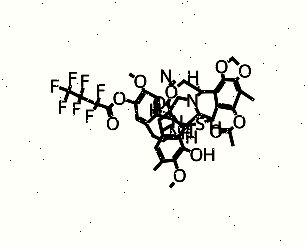 COc1cc2c(cc1OC(=O)C(F)(F)C(F)(F)C(F)(F)F)CCN[C@]21CS[C@@H]2c3c(OC(C)=O)c(C)c4c(c3[C@H](COC1=O)N1C2[C@@H]2c3c(cc(C)c(OC)c3O)C[C@@H]([C@@H]1C#N)N2C)OCO4